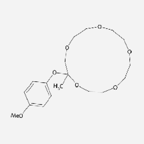 COc1ccc(OC2(C)COCCOCCOCCOCCO2)cc1